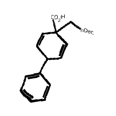 CCCCCCCCCCCC1(C(=O)O)C=CC(c2ccccc2)C=C1